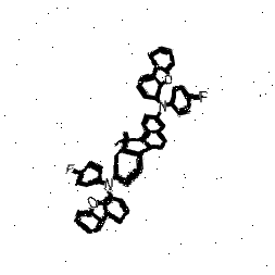 CC1(C)c2cc(N(c3ccc(F)cc3)c3cccc4c3oc3ccccc34)ccc2-c2ccc3cc(N(c4ccc(F)cc4)c4cccc5c4oc4ccccc45)ccc3c21